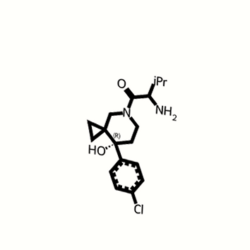 CC(C)C(N)C(=O)N1CC[C@@](O)(c2ccc(Cl)cc2)C2(CC2)C1